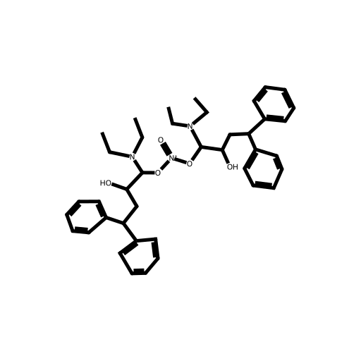 CCN(CC)C(O[N+](=O)OC(C(O)CC(c1ccccc1)c1ccccc1)N(CC)CC)C(O)CC(c1ccccc1)c1ccccc1